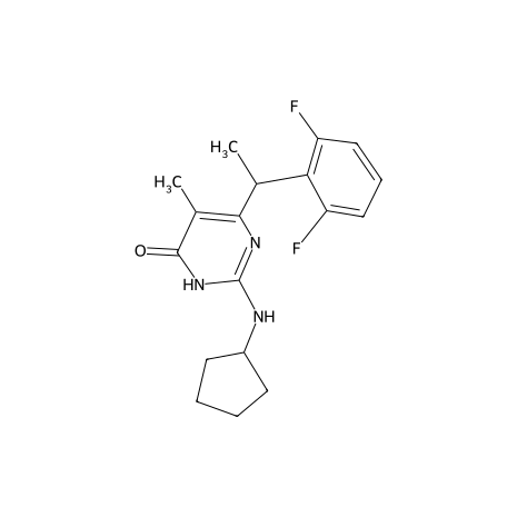 Cc1c(C(C)c2c(F)cccc2F)nc(NC2CCCC2)[nH]c1=O